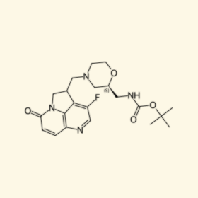 CC(C)(C)OC(=O)NC[C@H]1CN(CC2Cn3c(=O)ccc4ncc(F)c2c43)CCO1